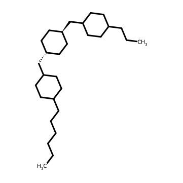 CCCCCCC1CCC(C[C@H]2CC[C@H](CC3CCC(CCC)CC3)CC2)CC1